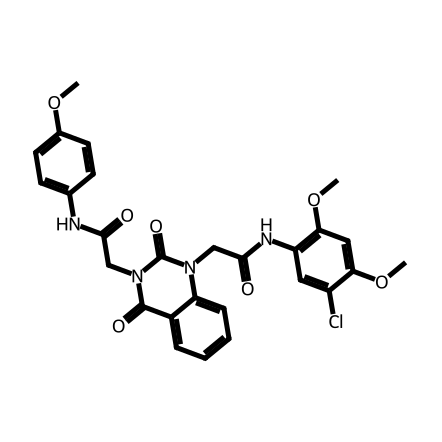 COc1ccc(NC(=O)Cn2c(=O)c3ccccc3n(CC(=O)Nc3cc(Cl)c(OC)cc3OC)c2=O)cc1